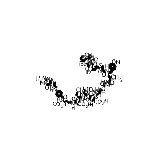 C#CC[C@H](NC(=O)[C@H](CC(=O)O)NC(=O)CC[C@H](NC(=O)c1ccc(NCc2cnc3nc(N)[nH]c(=O)c3n2)cc1)C(=O)O)C(=O)N[C@@H](CC(=O)O)C(=O)N[C@@H](CC(=O)O)C(=O)N[C@@H](CSSCCOC(=O)NNC(=O)[C@@H](C)C[C@H](Cc1ccc(O)cc1)NC(=O)c1csc([C@H](O)C[C@H](C(C)C)N(COC(=O)CCC)C(=O)[C@@H](NC(=O)[C@H]2CCCCN2C)[C@H](C)CC)n1)C(=O)O